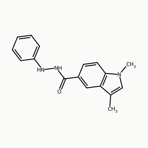 Cc1cn(C)c2ccc(C(=O)NNc3ccccc3)cc12